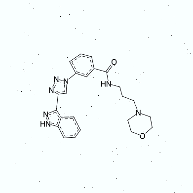 O=C(NCCCN1CCOCC1)c1cccc(-n2cc(-c3n[nH]c4ccccc34)nn2)c1